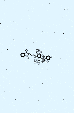 CCc1ccc(NS(=O)(=O)c2ccc(F)cc2Br)c(C(=O)OC)c1OCCCN1C(=O)c2ccccc2C1=O